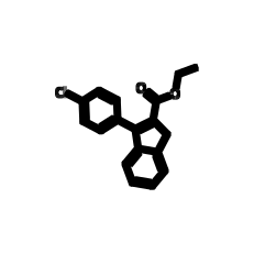 CCOC(=O)C1=C(c2ccc(Cl)cc2)c2ccccc2C1